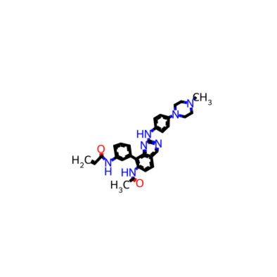 C=CC(=O)Nc1cccc(-c2c(NC(C)=O)ccc3cnc(Nc4ccc(N5CCN(C)CC5)cc4)nc23)c1